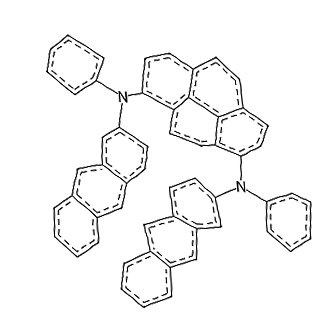 c1ccc(N(c2ccc3cc4ccccc4cc3c2)c2ccc3ccc4ccc(N(c5ccccc5)c5ccc6cc7ccccc7cc6c5)c5ccc2c3c45)cc1